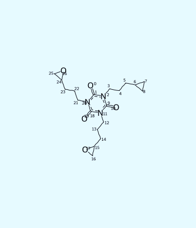 O=c1n(CCCC2CC2)c(=O)n(CCCC2CO2)c(=O)n1CCCC1CO1